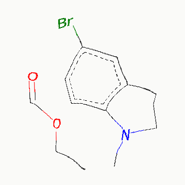 CCOC=O.CN1CCc2cc(Br)ccc21